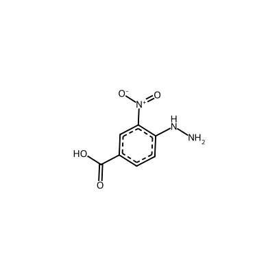 NNc1ccc(C(=O)O)cc1[N+](=O)[O-]